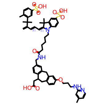 C=C(/C=C/C=C1/N(CCCCCC(=O)NCc2ccc3c(c2)Cc2cc(OCCCNc4cc(C)ccn4)ccc2CC3CC(=O)O)c2ccc(S(=O)(=O)O)cc2C1(C)C)C(C)(C)c1cc(S(=O)(=O)O)ccc1C